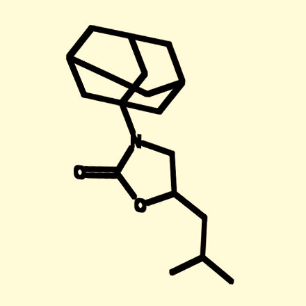 CC(C)CC1CN(C23CC4CC(CC(C4)C2)C3)C(=O)O1